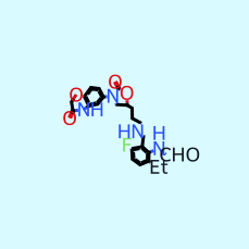 CCc1ccc(F)c(CNCCCC2CN(c3ccc4c(c3)NC(=O)CO4)C(=O)O2)c1NC=O